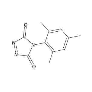 Cc1cc(C)c(N2C(=O)N=NC2=O)c(C)c1